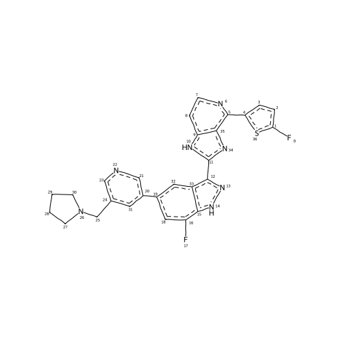 Fc1ccc(-c2nccc3[nH]c(-c4n[nH]c5c(F)cc(-c6cncc(CN7CCCC7)c6)cc45)nc23)s1